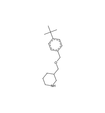 CC(C)(C)c1ccc(COCC2[CH]CCNC2)cc1